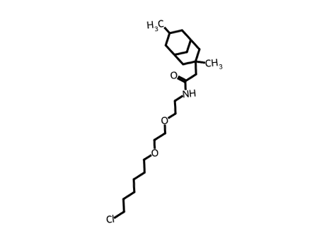 CC1CC2CC(C1)CC(C)(CC(=O)NCCOCCOCCCCCCCl)C2